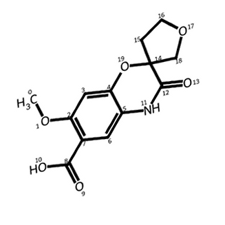 COc1cc2c(cc1C(=O)O)NC(=O)C1(CCOC1)O2